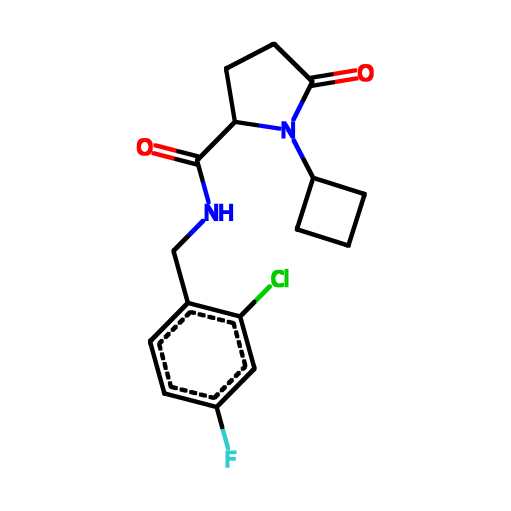 O=C(NCc1ccc(F)cc1Cl)C1CCC(=O)N1C1CCC1